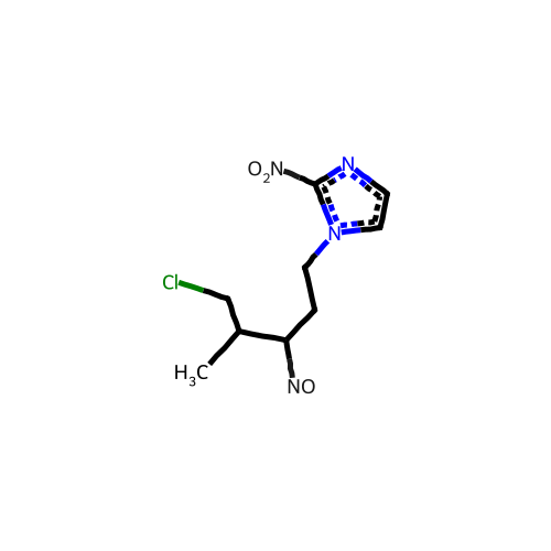 CC(CCl)C(CCn1ccnc1[N+](=O)[O-])N=O